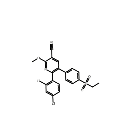 CCS(=O)(=O)c1ccc(-c2cc(C#N)c(OC)nc2-c2ccc(Cl)cc2Cl)cc1